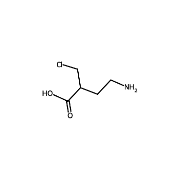 NCCC(CCl)C(=O)O